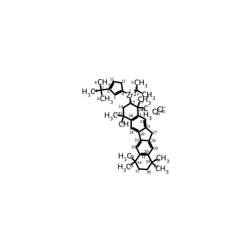 C[C](C)=[Zr+2]([C]1=CC(C(C)(C)C)=CC1)[CH]1CC(C)(C)c2cc3c(cc2C1(C)C)Cc1cc2c(cc1-3)C(C)(C)CCC2(C)C.[Cl-].[Cl-]